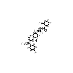 CCCCN(C(=O)Nc1ccc(NC(=O)NC(=O)c2ccccc2Cl)cc1Cl)c1ccc(C)cc1